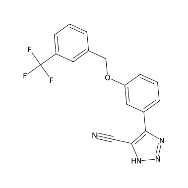 N#Cc1[nH]nnc1-c1cccc(OCc2cccc(C(F)(F)F)c2)c1